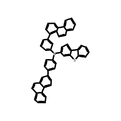 c1cc(-c2cccc3c2ccc2ccccc23)cc(N(c2ccc(-c3ccc4c(ccc5ccccc54)c3)cc2)c2ccc3c(c2)sc2ccccc23)c1